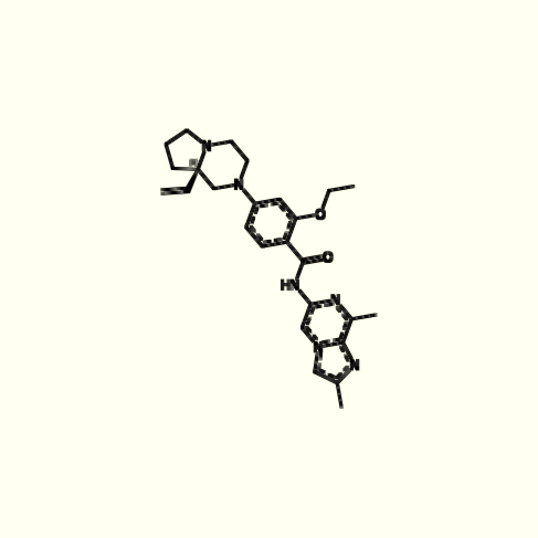 C=C[C@@]12CCCN1CCN(c1ccc(C(=O)Nc3cn4cc(C)nc4c(C)n3)c(OCC)c1)C2